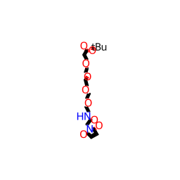 CC(C)(C)OC(=O)CCOCCOCCOCCOCCNC(=O)CN1C(=O)C=CC1=O